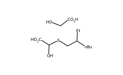 CCCCC(CC)CSC(O)C(=O)O.O=C(O)CO